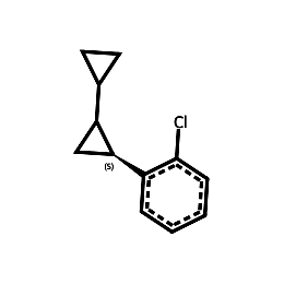 Clc1ccccc1[C@H]1CC1C1CC1